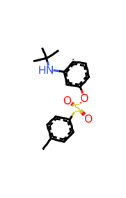 Cc1ccc(S(=O)(=O)Oc2cc[c]c(NC(C)(C)C)c2)cc1